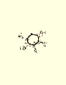 O[C@H]1[C@H](O)[C@H](O)C[C@H](O)[C@H]1O